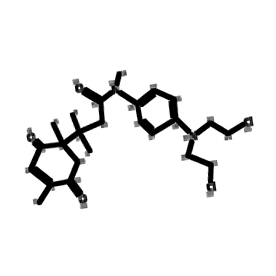 CC1=CC(=O)C(C)(C(C)(C)CC(=O)N(C)c2ccc(N(CCCl)CCCl)cc2)CC1=O